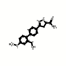 COc1ccc(-c2ccc(C3=NOC(C(N)=O)C3)cc2)c(CO)c1